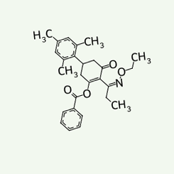 CCO/N=C(/CC)C1=C(OC(=O)c2ccccc2)CC(c2c(C)cc(C)cc2C)CC1=O